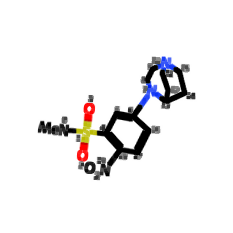 CNS(=O)(=O)c1cc(N2CCN3CCC2CC3)ccc1[N+](=O)[O-]